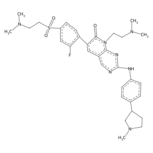 CN(C)CCn1c(=O)c(-c2ccc(S(=O)(=O)CCN(C)C)cc2F)cc2cnc(Nc3ccc(C4CCN(C)C4)cc3)nc21